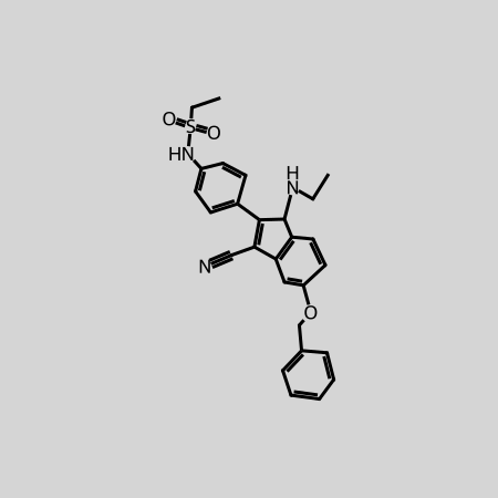 CCNC1C(c2ccc(NS(=O)(=O)CC)cc2)=C(C#N)c2cc(OCc3ccccc3)ccc21